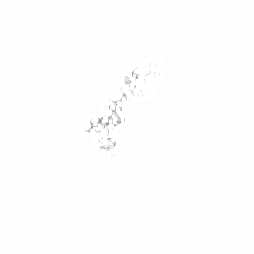 CC(=O)O[C@H](CC(C(C)C)N(C)C(=O)CC1CCC1)c1nc(C(=O)N[C@@H](Cc2nc(C)cs2)C[C@H](C)C(=O)O)cs1